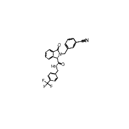 N#Cc1cccc(CN2C(=O)c3ccccc3C2C(=O)NCc2ccc(C(F)(F)F)cc2)c1